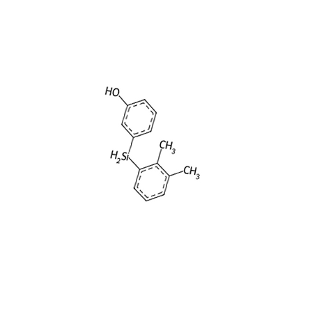 Cc1cccc([SiH2]c2cccc(O)c2)c1C